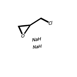 ClCC1CO1.[NaH].[NaH]